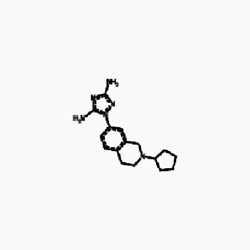 Nc1nc(N)n(-c2ccc3c(c2)CN(C2CCCC2)CC3)n1